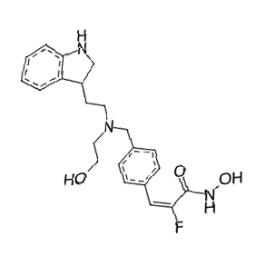 O=C(NO)/C(F)=C\c1ccc(CN(CCO)CCC2CNc3ccccc32)cc1